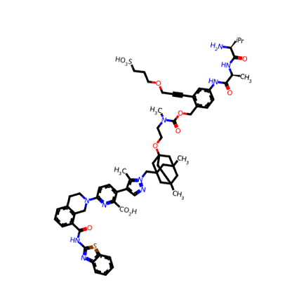 Cc1c(-c2ccc(N3CCc4cccc(C(=O)Nc5nc6ccccc6s5)c4C3)nc2C(=O)O)cnn1CC12CC3(C)CC(C)(C1)CC(OCCN(C)C(=O)OCc1ccc(NC(=O)[C@H](C)NC(=O)[C@@H](N)C(C)C)cc1C#CCOCCCS(=O)(=O)O)(C3)C2